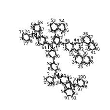 c1ccc(N(c2ccc(-c3ccc(N(c4cc(-c5ccc6c(-c7cccc8ccccc78)cc(-c7cccc8ccccc78)cc6c5)cc(-c5cccc6ccccc56)c4)c4ccc5c(c4)c4ccccc4n5-c4ccccc4)cc3)cc2)c2ccc3c(c2)c2ccccc2n3-c2ccccc2)cc1